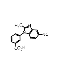 [C-]#[N+]c1ccc2c(c1)nc(C)n2-c1cccc(C(=O)O)c1